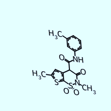 Cc1cccc(NC(=O)C2C(=O)N(C)S(=O)(=O)c3sc(C)cc32)c1